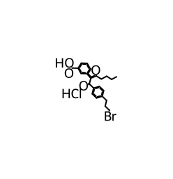 CCCCc1oc2ccc(C(=O)O)cc2c1C(=O)c1ccc(CCCBr)cc1.Cl